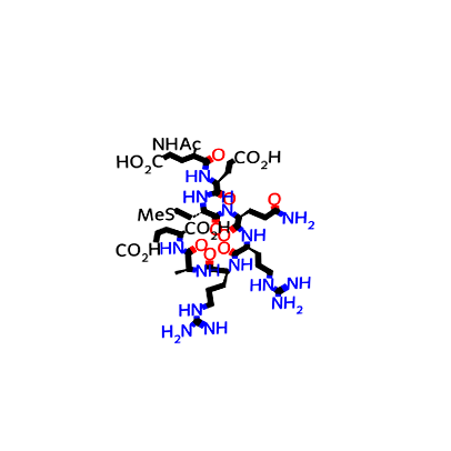 CSCC[C@H](NC(=O)[C@H](CCC(=O)O)NC(=O)[C@H](CCC(=O)O)NC(C)=O)C(=O)N[C@@H](CCC(N)=O)C(=O)N[C@@H](CCCNC(=N)N)C(=O)N[C@@H](CCCNC(=N)N)C(=O)N[C@@H](C)C(=O)N[C@@H](CCC(=O)O)C(=O)O